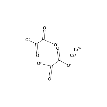 O=C([O-])C(=O)[O-].O=C([O-])C(=O)[O-].[Cs+].[Tb+3]